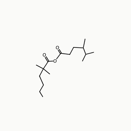 CCCCC(C)(C)C(=O)OC(=O)CCC(C)C(C)C